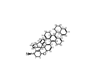 N#CC1C=C2C(CC1)OC1C=CC(c3c4c(c(C5CCCC6C=CC=CC65)c5c3CCC=C5)CCC=C4)=CC1C21c2ccccc2C2C=CC=CC21